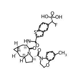 Cc1ccc2c(c1)OCCN2C(=O)[C@@H]1CC[C@@H]2C[C@H]3C[C@H]3C[C@H](NC(=O)c3cc4cc(C(F)P(=O)(O)O)ccc4s3)C(=O)N21